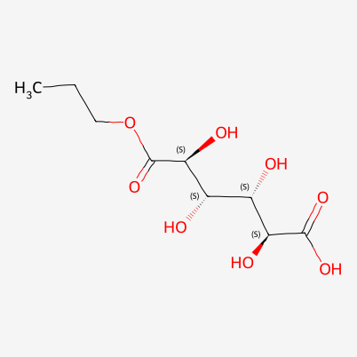 CCCOC(=O)[C@@H](O)[C@@H](O)[C@H](O)[C@H](O)C(=O)O